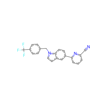 N#Cc1cccc(-c2ccc3c(ccn3Cc3ccc(C(F)(F)F)cc3)c2)n1